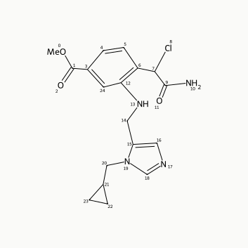 COC(=O)c1ccc(C(Cl)C(N)=O)c(NCc2cncn2CC2CC2)c1